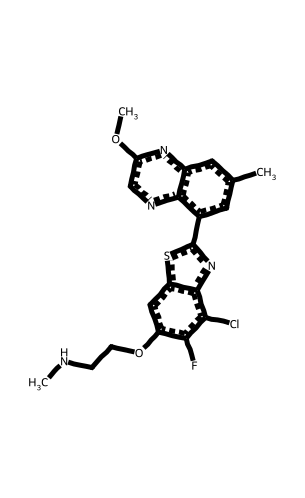 CNCCOc1cc2sc(-c3cc(C)cc4nc(OC)cnc34)nc2c(Cl)c1F